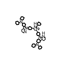 CN1C(c2ccc(N3c4ccc(N(c5ccccc5)c5ccccc5)cc4C4CCCNC43)cc2)CC(c2ccc(N3c4ccc(N(c5ccccc5)c5ccccc5)cc4C4CCC=NC43)cc2)NC1c1ccccc1